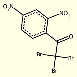 O=C(c1ccc([N+](=O)[O-])cc1[N+](=O)[O-])C(Br)(Br)Br